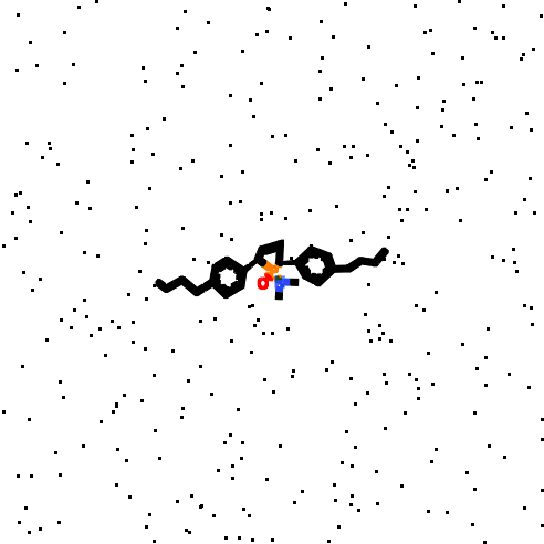 CCCCc1ccc([C@H]2C=C[C@@H](c3ccc(CCCC)cc3)P2(=O)N(C)C)cc1